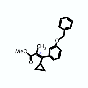 COC(=O)/C(C)=C(/c1cccc(OCc2ccccc2)c1)C1CC1